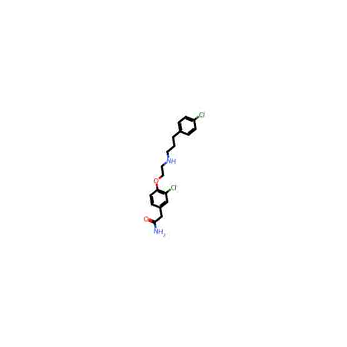 NC(=O)Cc1ccc(OCCNCCCc2ccc(Cl)cc2)c(Cl)c1